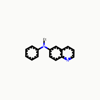 CCN(c1ccccc1)c1ccc2ncccc2c1